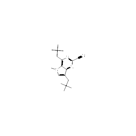 Cn1cc(CC(C)(C)C)c2nc(C#N)nc(CC(C)(C)C)c21